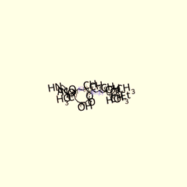 CC[C@H](O)C(C)O[C@@H](C)CC(C)(O)/C=C/C=C(\C)[C@H]1OC(=O)C[C@H](O)CC[C@@](C)(OC(=O)N2CCNCC2)[C@@H](OC(C)=O)/C=C/[C@@H]1C